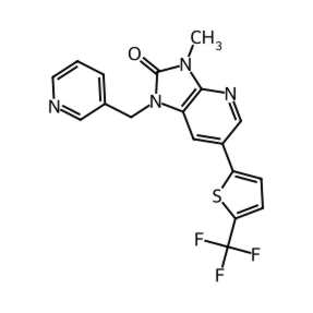 Cn1c(=O)n(Cc2cccnc2)c2cc(-c3ccc(C(F)(F)F)s3)cnc21